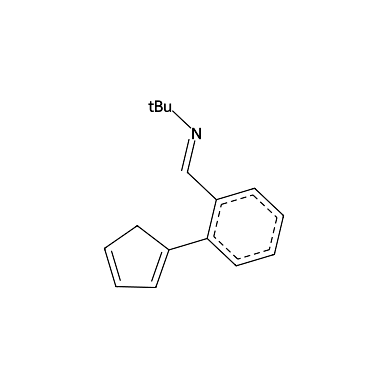 CC(C)(C)N=Cc1ccccc1C1=CC=CC1